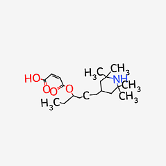 CCC(CCCC1CC(C)(C)NC(C)(C)C1)OC(=O)/C=C\C(=O)O